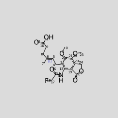 COc1c(C/C=C(\C)CCC(=O)O)c(NC(=O)CF)c2c(c1OC)COC2=O